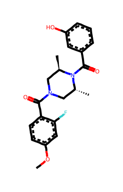 COc1ccc(C(=O)N2C[C@@H](C)N(C(=O)c3cccc(O)c3)[C@H](C)C2)c(F)c1